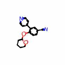 N#Cc1ccc(OC2CCCCO2)c(-c2ccncc2)c1